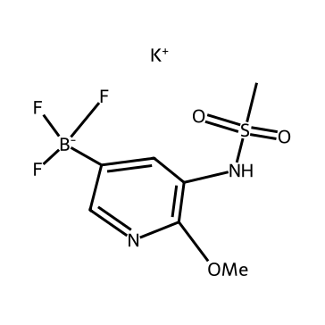 COc1ncc([B-](F)(F)F)cc1NS(C)(=O)=O.[K+]